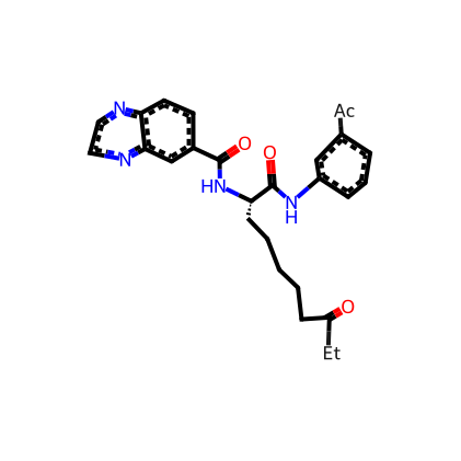 CCC(=O)CCCCC[C@H](NC(=O)c1ccc2nccnc2c1)C(=O)Nc1cccc(C(C)=O)c1